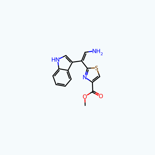 COC(=O)c1csc(C(=CN)c2c[nH]c3ccccc23)n1